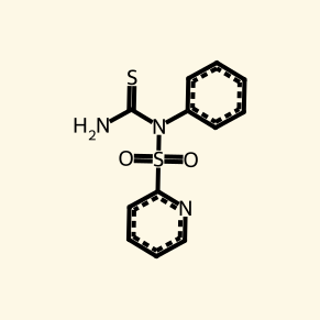 NC(=S)N(c1ccccc1)S(=O)(=O)c1ccccn1